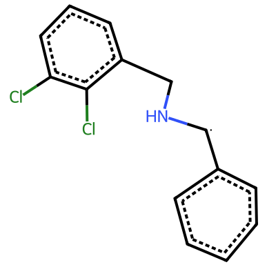 Clc1cccc(CN[CH]c2ccccc2)c1Cl